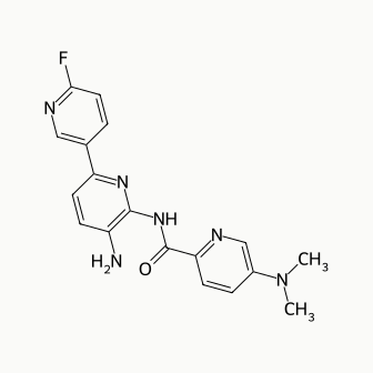 CN(C)c1ccc(C(=O)Nc2nc(-c3ccc(F)nc3)ccc2N)nc1